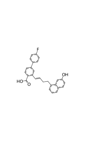 O=C(O)c1ccc(-c2ccc(F)cc2)cc1C=CCCc1cccc2ccc(O)cc12